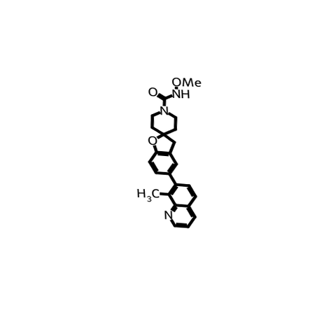 CONC(=O)N1CCC2(CC1)Cc1cc(-c3ccc4cccnc4c3C)ccc1O2